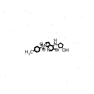 Cc1ccc(S(=O)(=O)n2ccc3c(N[C@@H]4CC[C@H](O)C4)c(Br)cnc32)cc1